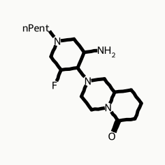 CCCCCN1CC(N)C(N2CCN3C(=O)CCCC3C2)C(F)C1